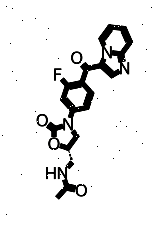 CC(=O)NC[C@H]1CN(c2ccc(C(=O)c3cnc4ccccn34)c(F)c2)C(=O)O1